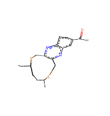 CC1CCC(C)SCc2nc3cc(C(=O)C(C)C)ccc3nc2CS1